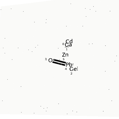 [Cd].[Ga].[Ge].[O]=[Pb].[Zn]